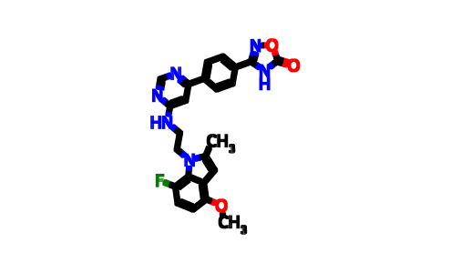 COc1ccc(F)c2c1cc(C)n2CCNc1cc(-c2ccc(-c3noc(=O)[nH]3)cc2)ncn1